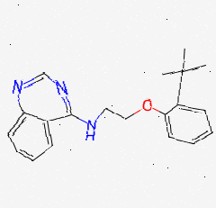 CC(C)(C)c1ccccc1OCCNc1ncnc2ccccc12